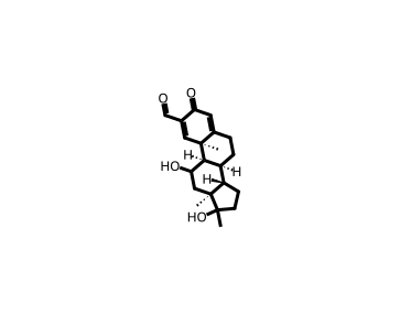 CC1(O)CC[C@H]2[C@@H]3CCC4=CC(=O)C(C=O)=C[C@]4(C)[C@@H]3C(O)C[C@@]21C